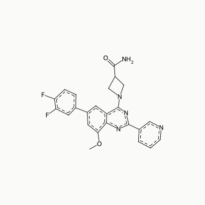 COc1cc(-c2ccc(F)c(F)c2)cc2c(N3CC(C(N)=O)C3)nc(-c3cccnc3)nc12